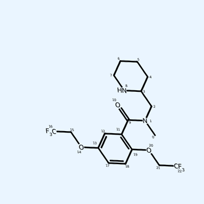 CN(CC1CCCCN1)C(=O)c1cc(OCC(F)(F)F)ccc1OCC(F)(F)F